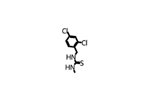 CNC(=S)NCc1ccc(Cl)cc1Cl